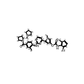 CCc1cccc(CC)c1NC(=O)Oc1cc(-c2ccnc(Nc3ccc(C(=O)N4CCC[C@@H]4CN4CCCC4)cc3C)n2)n(C)c1